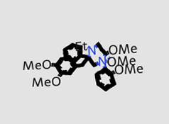 CCN1CC(OC)[N+](OC)(c2ccccc2OC)CC1(Cc1ccc(OC)c(OC)c1)c1ccccc1